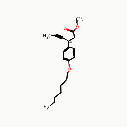 CC#C[C@@H](CC(=O)OC)c1ccc(OCCCCCCC)cc1